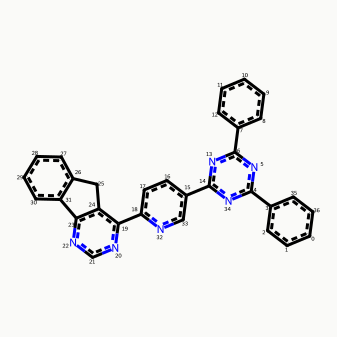 c1ccc(-c2nc(-c3ccccc3)nc(-c3ccc(-c4ncnc5c4Cc4ccccc4-5)nc3)n2)cc1